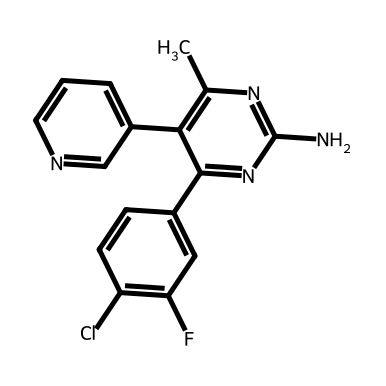 Cc1nc(N)nc(-c2ccc(Cl)c(F)c2)c1-c1cccnc1